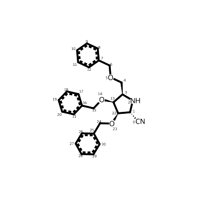 N#C[C@H]1N[C@H](COCc2ccccc2)[C@H](OCc2ccccc2)[C@@H]1OCc1ccccc1